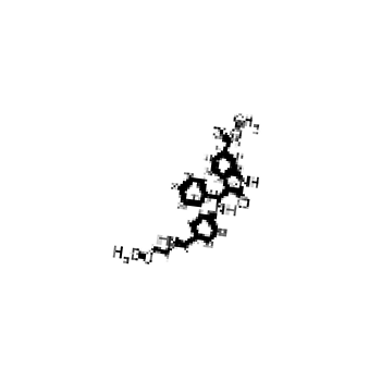 COCCNCc1ccc(N/C(=C2\C(=O)Nc3cc(C(=O)OC)ccc32)c2ccccc2)cc1